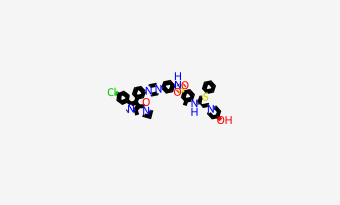 Cc1cc(S(=O)(=O)Nc2ccc(N3CCN(c4cccc(-c5c(C(=O)N6CCC6)c(C)n(C)c5-c5ccc(Cl)cc5)c4)CC3)cc2)ccc1N[C@H](CCN1CCC(O)CC1)CSc1ccccc1